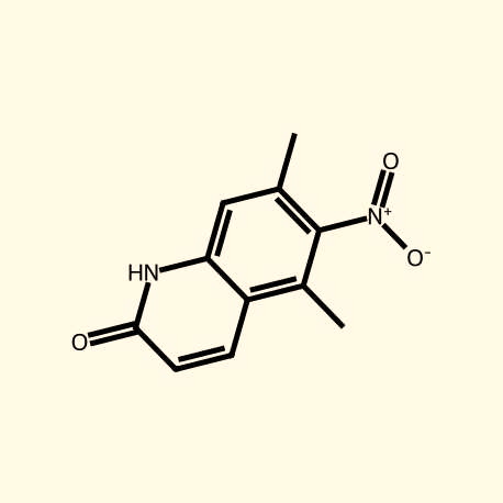 Cc1cc2[nH]c(=O)ccc2c(C)c1[N+](=O)[O-]